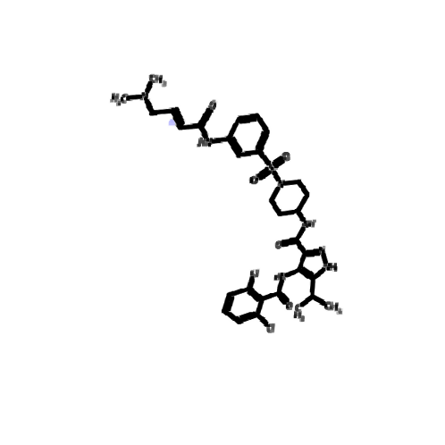 CC(C)c1[nH]nc(C(=O)NC2CCN(S(=O)(=O)c3cccc(NC(=O)/C=C/CN(C)C)c3)CC2)c1NC(=O)c1c(Cl)cccc1Cl